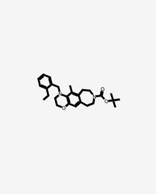 CCc1ccccc1CN1CCOc2cc3c(c(C)c21)CCN(C(=O)OC(C)(C)C)CC3